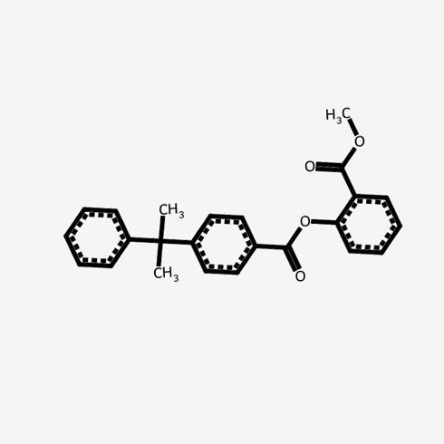 COC(=O)c1ccccc1OC(=O)c1ccc(C(C)(C)c2ccccc2)cc1